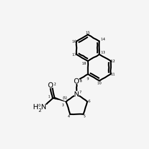 NC(=O)[C@@H]1CCCN1Oc1cccc2ccccc12